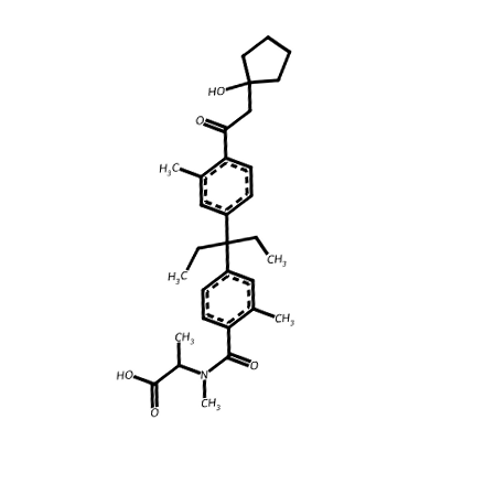 CCC(CC)(c1ccc(C(=O)CC2(O)CCCC2)c(C)c1)c1ccc(C(=O)N(C)C(C)C(=O)O)c(C)c1